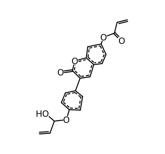 C=CC(=O)Oc1ccc2cc(-c3ccc(OC(O)C=C)cc3)c(=O)oc2c1